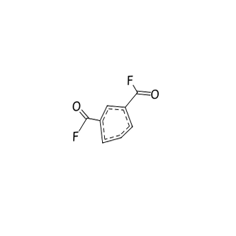 O=C(F)c1cccc(C(=O)F)c1